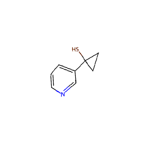 SC1(c2cccnc2)CC1